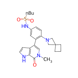 CCCCS(=O)(=O)Nc1ccc(N2CC3(CCC3)C2)c(-c2cn(C)c(=O)c3[nH]ccc23)c1